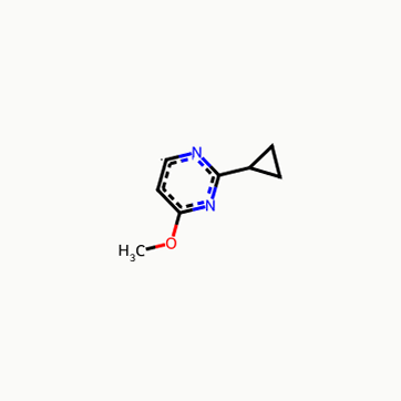 COc1c[c]nc(C2CC2)n1